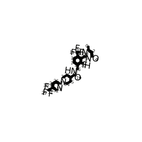 Cc1cc(=O)[nH]c(-c2c(C(F)(F)F)ccc(CNC(=O)C3CCN(c4ccc(C(F)(F)F)cn4)CC3)c2F)n1